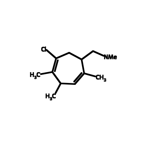 CNCC1CC(Cl)=C(C)C(C)C=C1C